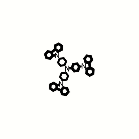 c1ccc2c(c1)c1ccccc1n2-c1ccc(N(C2CCC(n3c4ccccc4c4ccccc43)CC2)C2CCC(n3c4ccccc4c4ccccc43)CC2)cc1